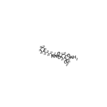 Cc1cc(C(N)=O)c(-c2cccc(OC(=O)NCCCCCCc3ccccc3)c2)o1